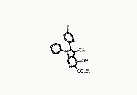 CCOC(=O)c1ncc2c(c1O)c(C#N)c(-c1ccc(F)cc1)n2-c1ccccc1